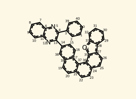 c1ccc(-c2nc3ccccc3nc2-c2ccc3c(ccc4ccc5ccc6c7ccccc7oc6c5c43)c2)cc1